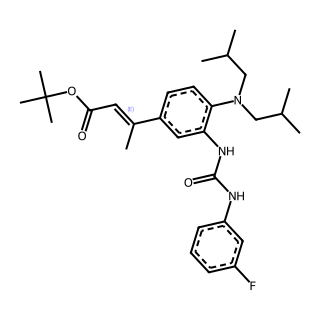 C/C(=C\C(=O)OC(C)(C)C)c1ccc(N(CC(C)C)CC(C)C)c(NC(=O)Nc2cccc(F)c2)c1